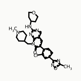 Cc1nc(-c2ccc(-c3cc4cnc(NC5CCOCC5)nc4n(CC4CCN(C)CC4)c3=O)c(Cl)c2)no1